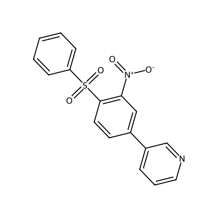 O=[N+]([O-])c1cc(-c2cccnc2)ccc1S(=O)(=O)c1ccccc1